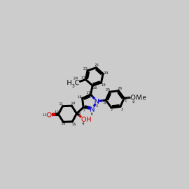 COc1ccc(-n2nc(C3(O)CCC(=O)CC3)cc2-c2ccccc2C)cc1